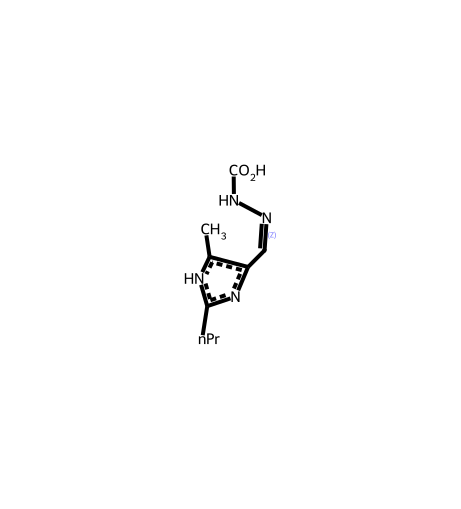 CCCc1nc(/C=N\NC(=O)O)c(C)[nH]1